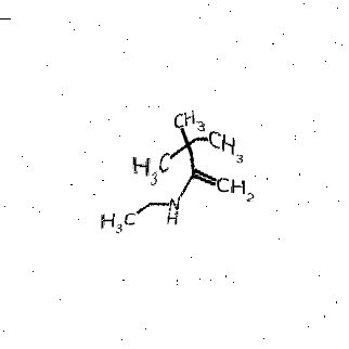 C=C(NCC)C(C)(C)C